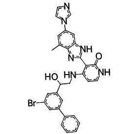 Cc1cc(-n2ccnc2)cc2[nH]c(-c3c(NCC(O)c4cc(Br)cc(-c5ccccc5)c4)cc[nH]c3=O)nc12